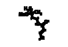 CCC=CC(=O)OCCC(C)(C)OC